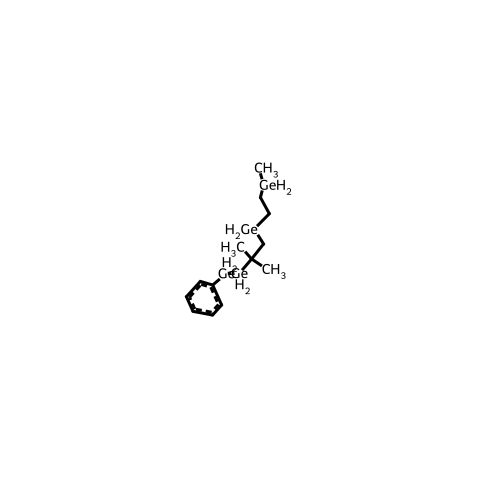 [CH3][GeH2][CH2][CH2][GeH2][CH2][C](C)(C)[GeH2][GeH2][c]1ccccc1